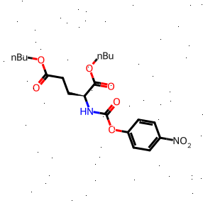 CCCCOC(=O)CC[C@H](NC(=O)Oc1ccc([N+](=O)[O-])cc1)C(=O)OCCCC